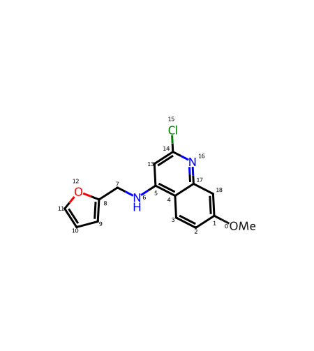 COc1ccc2c(NCc3ccco3)cc(Cl)nc2c1